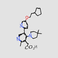 Cc1ncc(-c2ccc(OCCC3CCCC3)cn2)c(N2CCC(C)(C)CC2)c1CC(=O)O